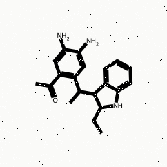 CCC1Nc2ccccc2C1C(C)c1cc(N)c(N)cc1C(C)=O